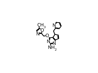 Cc1cnc(COc2nc(N)nc3c2C(Cc2ccccn2)C=C3)o1